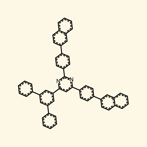 c1ccc(-c2cc(-c3ccccc3)cc(-c3cc(-c4ccc(-c5ccc6ccccc6c5)cc4)nc(-c4ccc(-c5ccc6ccccc6c5)cc4)n3)c2)cc1